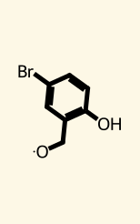 [O]Cc1cc(Br)ccc1O